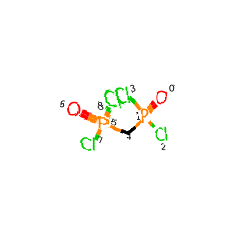 O=P(Cl)(Cl)CP(=O)(Cl)Cl